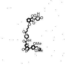 COc1cc(-c2cn(C)c(=O)c3cc(C(=O)NC4CCN(C(=O)CCCCOc5cccc6c5C(=O)N(C5CCC(=O)NC5=O)C6=O)CC4)sc23)cc(OC)c1CN1CCC1